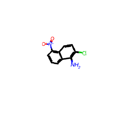 Nc1c(Cl)ccc2c([N+](=O)[O-])cccc12